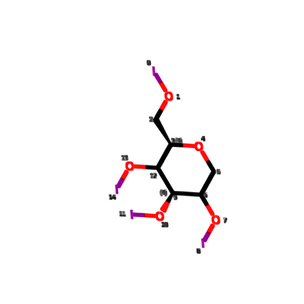 IOC[C@H]1OCC(OI)[C@@H](OI)C1OI